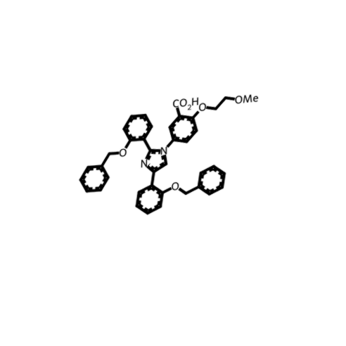 COCCOc1ccc(-n2cc(-c3ccccc3OCc3ccccc3)nc2-c2ccccc2OCc2ccccc2)cc1C(=O)O